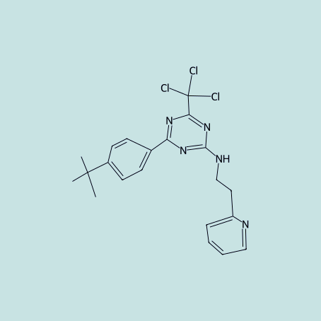 CC(C)(C)c1ccc(-c2nc(NCCc3ccccn3)nc(C(Cl)(Cl)Cl)n2)cc1